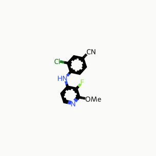 COc1nccc(Nc2ccc(C#N)cc2Cl)c1F